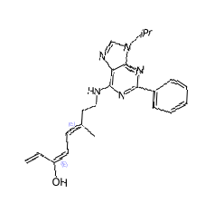 C=C/C(O)=C\C=C(/C)CCNc1nc(-c2ccccc2)nc2c1ncn2C(C)C